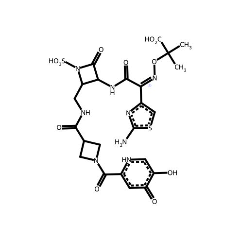 CC(C)(O/N=C(\C(=O)NC1C(=O)N(S(=O)(=O)O)C1CNC(=O)C1CN(C(=O)c2cc(=O)c(O)c[nH]2)C1)c1csc(N)n1)C(=O)O